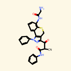 N#CC(C(=O)Nc1ccccc1)C(=O)c1nn(-c2ccccc2)c2c1CSc1c(NC(=O)CN)cccc1-2